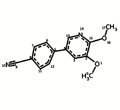 COc1cc(-c2ccc(C#N)cc2)cnc1OC